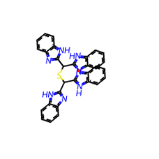 c1ccc2[nH]c(C(SC(c3nc4ccccc4[nH]3)c3nc4ccccc4[nH]3)c3nc4ccccc4[nH]3)nc2c1